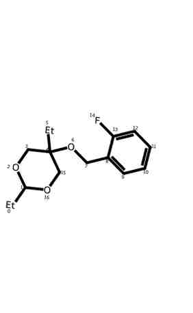 CCC1OCC(CC)(OCc2ccccc2F)CO1